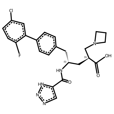 O=C(N[C@H](Cc1ccc(-c2cc(Cl)ccc2F)cc1)C[C@@H](CN1CCC1)C(=O)O)c1cnn[nH]1